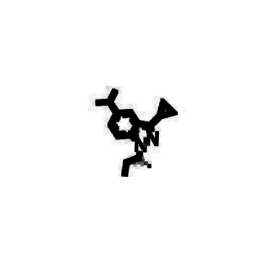 CC[C@@H](C)n1nc(C2CC2)c2cc(C(C)C)ccc21